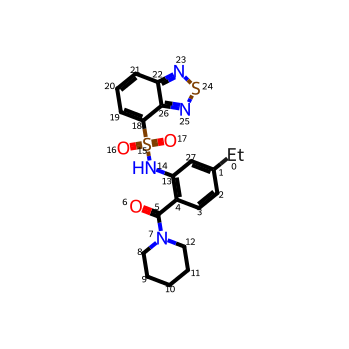 CCc1ccc(C(=O)N2CCCCC2)c(NS(=O)(=O)c2cccc3nsnc23)c1